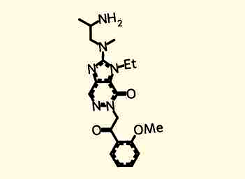 CCn1c(N(C)CC(C)N)nc2cnn(CC(=O)c3ccccc3OC)c(=O)c21